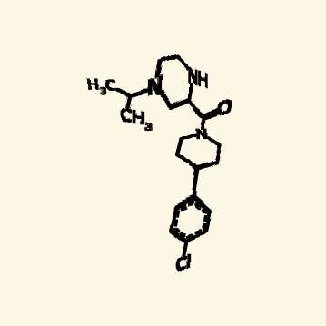 CC(C)N1CCN[C@@H](C(=O)N2CCC(c3ccc(Cl)cc3)CC2)C1